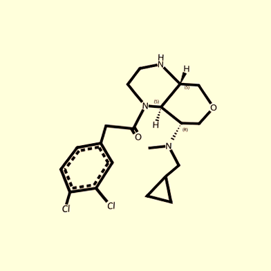 CN(CC1CC1)[C@H]1COC[C@H]2NCCN(C(=O)Cc3ccc(Cl)c(Cl)c3)[C@@H]21